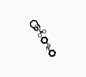 CN1C2CCCCC1CN(C(=O)Oc1ccc(/N=N/c3ccccc3)cc1)C2